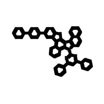 c1ccc(-c2ccc(-c3ccc4sc5c(c4c3)c3ccccc3c3c5c4c5ccccc5ccc4n3-c3nc(-c4ccccc4)cc(-c4ccccc4)n3)cc2)cc1